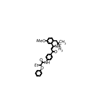 CCC(Oc1ccccc1)C(=O)Nc1ccc(C(=O)/C=C2\NC(C)(C)Cc3ccc(OC)cc32)cc1